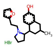 Br.CC1Cc2cc(O)ccc2C(C2CCCN2CCc2ccco2)C1